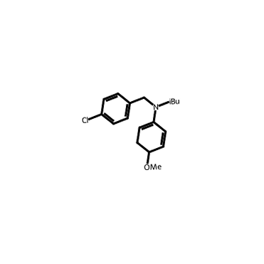 CCC(C)N(Cc1ccc(Cl)cc1)C1=CCC(OC)C=C1